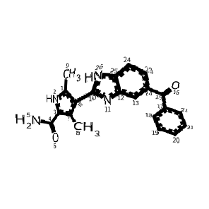 Cc1[nH]c(C(N)=O)c(C)c1-c1nc2cc(C(=O)c3ccccc3)ccc2[nH]1